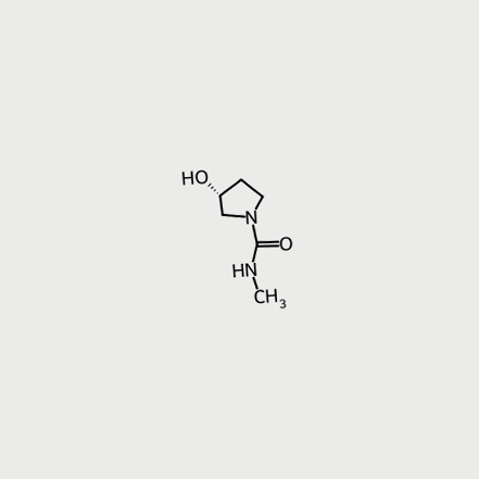 CNC(=O)N1CC[C@@H](O)C1